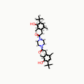 Cc1cc(C(C)(C)C)c(O)c(C)c1CC(=O)N1CCN(C(=O)Cc2c(C)cc(C(C)(C)C)c(O)c2C)CC1